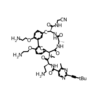 Cc1nc(C#CC(C)(C)C)ncc1C(=O)N[C@@H](CCN)C(=O)N(C)[C@@H]1C(=O)N[C@@H](C)C(=O)N[C@H](C(=O)NCC#N)Cc2ccc(OCCN)c(c2)-c2cc1ccc2OCCN